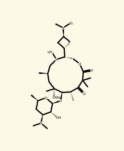 CCCN1C[C@H](C)C[C@@](C)(OC)[C@H](O[C@@H]2O[C@H](C)C[C@H](N(C)C)[C@H]2O)[C@@H](C)C(=O)C(C)(C)C(=O)OC[C@H]1[C@H]1C[C@H](N(C)CC)C1